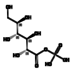 O=C(OP(=O)(O)O)[C@H](O)[C@H](O)[C@H](O)[C@H](O)CO